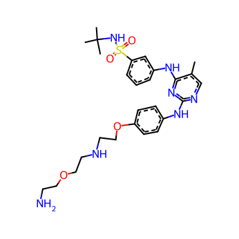 Cc1cnc(Nc2ccc(OCCNCCOCCN)cc2)nc1Nc1cccc(S(=O)(=O)NC(C)(C)C)c1